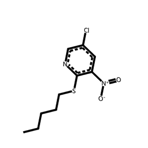 CCCCCSc1ncc(Cl)cc1[N+](=O)[O-]